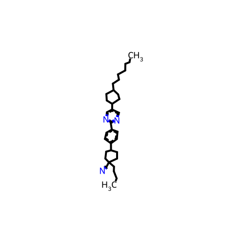 CCCCCCCC1CCC(c2cnc(-c3ccc(C4CCC(C#N)(CCCC)CC4)cc3)nc2)CC1